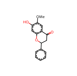 COc1cc2c(cc1O)OC(c1ccccc1)CC2=O